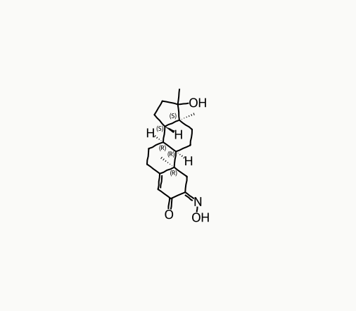 CC1(O)CC[C@H]2[C@@H]3CCC4=CC(=O)C(=NO)C[C@]4(C)[C@@H]3CC[C@@]21C